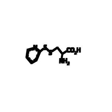 NC(CSSc1ccccn1)C(=O)O